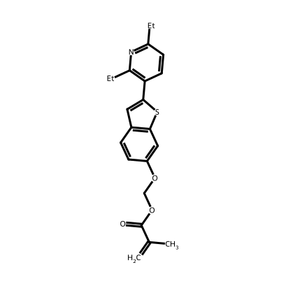 C=C(C)C(=O)OCOc1ccc2cc(-c3ccc(CC)nc3CC)sc2c1